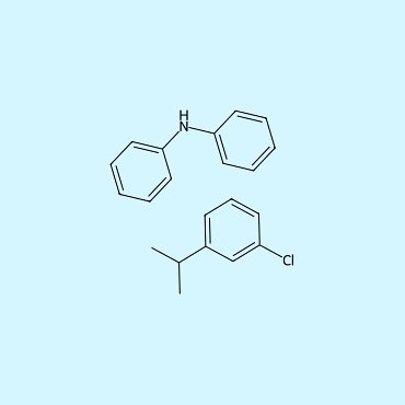 CC(C)c1cccc(Cl)c1.c1ccc(Nc2ccccc2)cc1